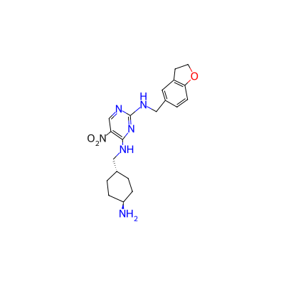 N[C@H]1CC[C@H](CNc2nc(NCc3ccc4c(c3)CCO4)ncc2[N+](=O)[O-])CC1